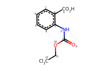 O=C(Nc1ccccc1C(=O)O)OCC(Cl)(Cl)Cl